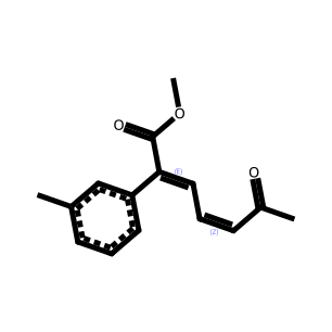 COC(=O)/C(=C/C=C\C(C)=O)c1cccc(C)c1